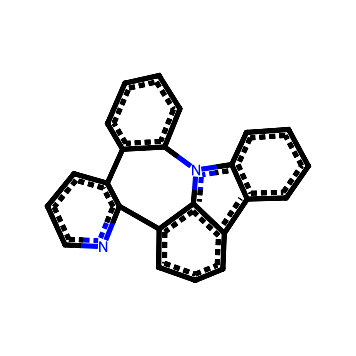 c1ccc2c(c1)-c1cccnc1-c1cccc3c4ccccc4n-2c13